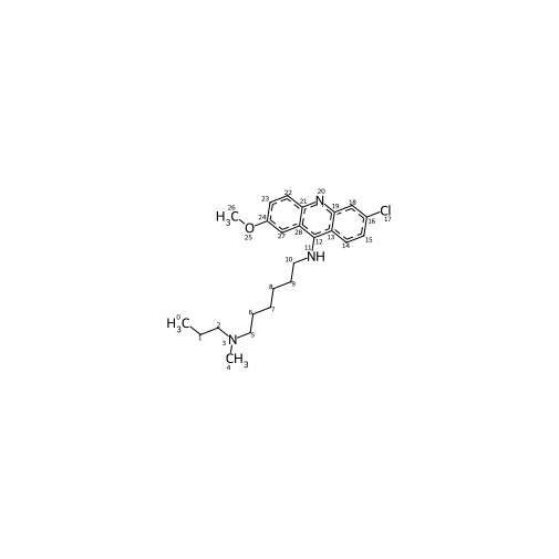 CCCN(C)CCCCCCNc1c2ccc(Cl)cc2nc2ccc(OC)cc12